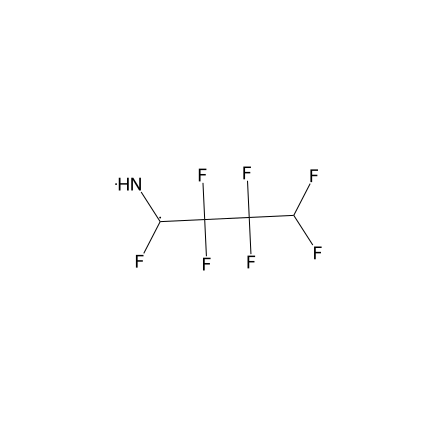 [NH][C](F)C(F)(F)C(F)(F)C(F)F